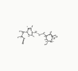 C=CC(C)C(C)c1ccc(CCCc2cc(C)nc(C)c2)cc1